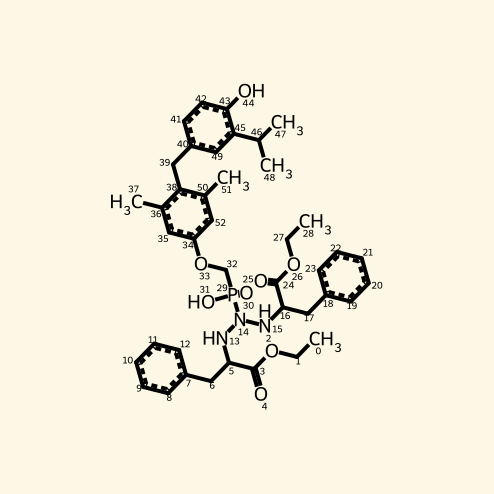 CCOC(=O)C(Cc1ccccc1)NN(NC(Cc1ccccc1)C(=O)OCC)P(=O)(O)COc1cc(C)c(Cc2ccc(O)c(C(C)C)c2)c(C)c1